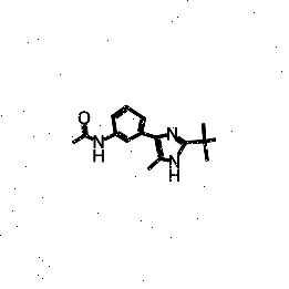 CC(=O)Nc1cccc(-c2nc(C(C)(C)C)[nH]c2C)c1